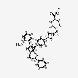 COC(=O)[C@H]1CC[C@H]([C@H](C)N2CC(c3ccc(-n4c(-c5cccnc5N)nc5ccc(-c6ccccc6)nc54)cc3)C2)CC1